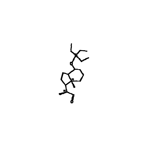 CC[Si](CC)(CC)OC1CCC[C@@]2(C)C1CCC2[C@H](C)C=O